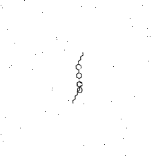 CCCCCCOc1ccc([C@H]2CC[C@H]([C@H]3CC[C@H](CCCCC)CC3)CC2)cc1